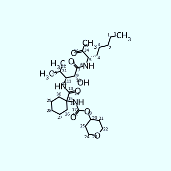 CCCCC[C@H](NC(=O)[C@H](O)[C@@H](NC(=O)C1(NC(=O)OC2CCOCC2)CCCCC1)C(C)C)C(C)=O